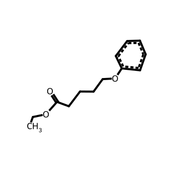 CCOC(=O)CCCCOc1ccccc1